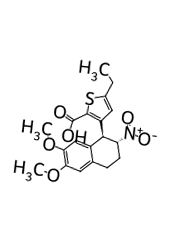 CCc1cc([C@@H]2c3cc(OC)c(OC)cc3CC[C@H]2[N+](=O)[O-])c(C(=O)O)s1